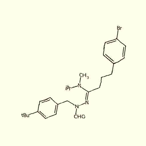 CC(C)N(C)/C(CCCc1ccc(Br)cc1)=N\N(C=O)Cc1ccc(C(C)(C)C)cc1